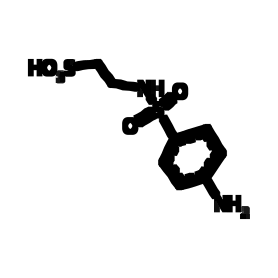 Nc1ccc(S(=O)(=O)NCCS(=O)(=O)O)cc1